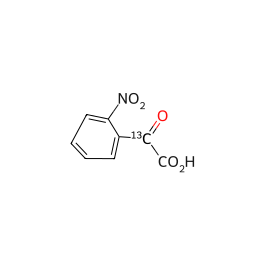 O=C(O)[13C](=O)c1ccccc1[N+](=O)[O-]